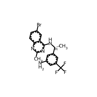 Cc1nc(N[C@H](C)c2cc(N)cc(C(F)(F)F)c2)c2cc(Br)ccc2n1